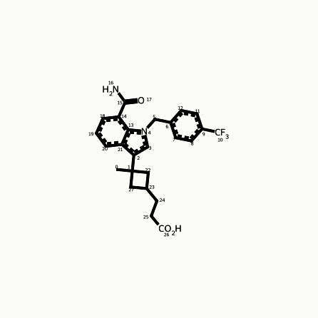 CC1(c2cn(Cc3ccc(C(F)(F)F)cc3)c3c(C(N)=O)cccc23)CC(CCC(=O)O)C1